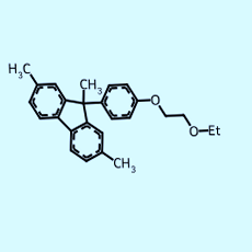 CCOCCOc1ccc(C2(C)c3cc(C)ccc3-c3ccc(C)cc32)cc1